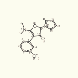 CN(C)C1=C(c2cccc(C(F)(F)F)c2)C(=O)C(n2cccc2)O1